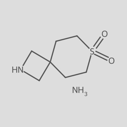 N.O=S1(=O)CCC2(CC1)CNC2